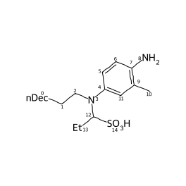 CCCCCCCCCCCCN(c1ccc(N)c(C)c1)C(CC)S(=O)(=O)O